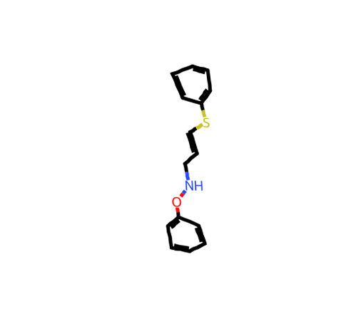 C(=CSc1ccccc1)CNOc1ccccc1